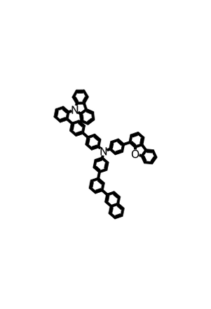 c1cc(-c2ccc(N(c3ccc(-c4ccc(-c5ccccc5-n5c6ccccc6c6ccccc65)cc4)cc3)c3ccc(-c4cccc5c4oc4ccccc45)cc3)cc2)cc(-c2ccc3ccccc3c2)c1